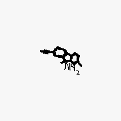 CC#Cc1ccc2c(c1)C(C)(N)c1cc(C)ccc1-2